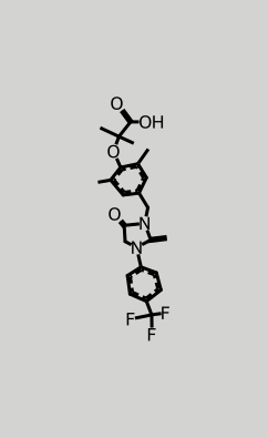 C=C1N(Cc2cc(C)c(OC(C)(C)C(=O)O)c(C)c2)C(=O)CN1c1ccc(C(F)(F)F)cc1